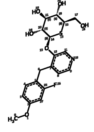 COc1ccc(Cc2ccncc2O[C@@H]2S[C@H](CO)[C@@H](O)[C@H](O)[C@H]2O)c(F)c1